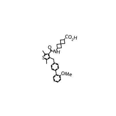 COc1ccccc1-c1ccc(Cc2c(C)sc(C)c2C(=O)NC2CC3(C2)CC(C(=O)O)C3)cc1